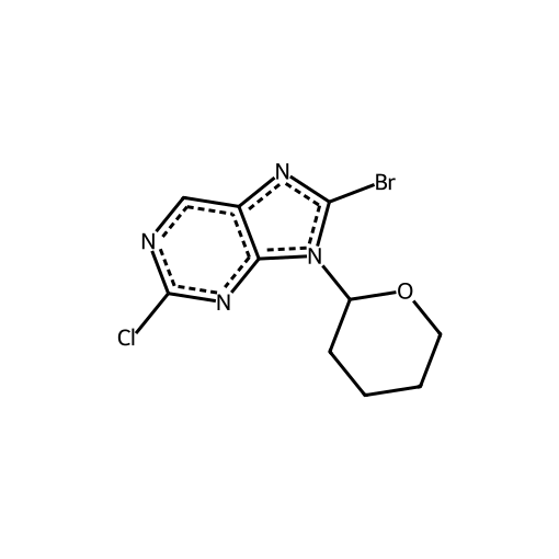 Clc1ncc2nc(Br)n(C3CCCCO3)c2n1